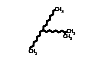 CCCCCCCC[C](CCCCCCCC)CCCCCCC(C)C